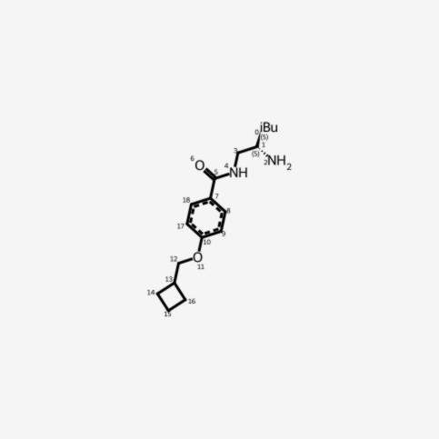 CC[C@H](C)[C@H](N)CNC(=O)c1ccc(OCC2CCC2)cc1